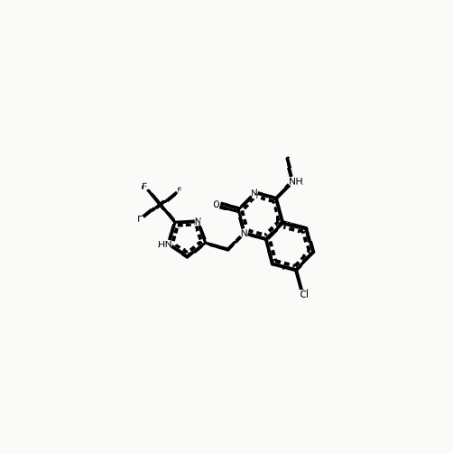 CNc1nc(=O)n(Cc2c[nH]c(C(F)(F)F)n2)c2cc(Cl)ccc12